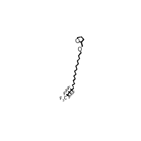 FC(F)(F)C(F)(F)C(F)(F)C(F)(F)CCCCCCCCCCCCCCCOCC1CCCO1